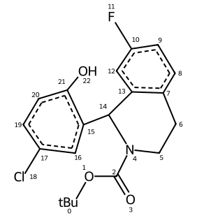 CC(C)(C)OC(=O)N1CCc2ccc(F)cc2C1c1cc(Cl)ccc1O